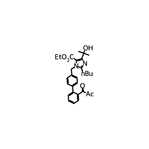 CCCCc1nc(C(C)(C)O)c(C(=O)OCC)n1Cc1ccc(-c2ccccc2C(=O)C(C)=O)cc1